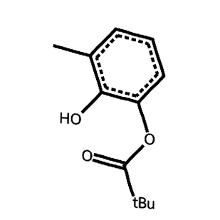 Cc1cccc(OC(=O)C(C)(C)C)c1O